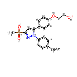 COc1ccc(-n2nc(S(C)(=O)=O)cc2-c2ccc(OCCO)cc2)cc1